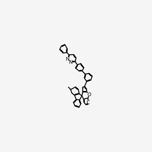 CC1C=CC2=C(C1)c1ccccc1C21C2=CC=CCC2Oc2cc(-c3cccc(-c4ccc(-c5ccc(-c6ccccc6)nn5)cc4)c3)ccc21